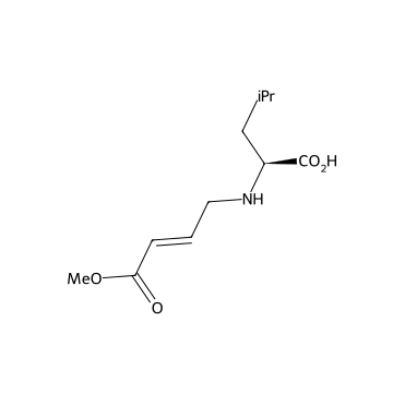 COC(=O)/C=C/CN[C@@H](CC(C)C)C(=O)O